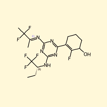 CC[C@@H](Nc1nc(/N=C(\C)C(C)(F)F)nc(C2=C(F)C(O)CCC2)n1)C(F)(F)F